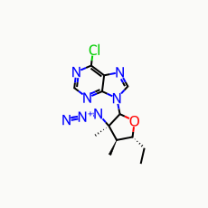 CC[C@H]1OC(n2cnc3c(Cl)ncnc32)[C@](C)(N=[N+]=[N-])[C@@H]1C